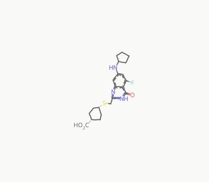 O=c1[nH]c(CS[C@H]2CC[C@@H](C(=O)O)CC2)nc2cc(NC3CCCC3)cc(F)c12